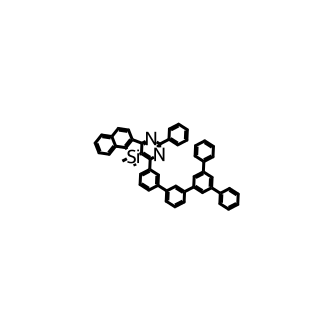 C[Si]1(C)c2c(-c3cccc(-c4cccc(-c5cc(-c6ccccc6)cc(-c6ccccc6)c5)c4)c3)nc(-c3ccccc3)nc2-c2ccc3ccccc3c21